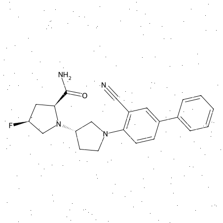 N#Cc1cc(-c2ccccc2)ccc1N1CC[C@H](N2C[C@@H](F)C[C@H]2C(N)=O)C1